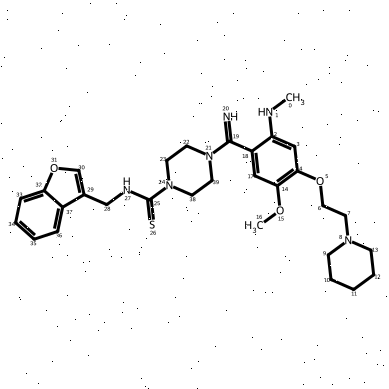 CNc1cc(OCCN2CCCCC2)c(OC)cc1C(=N)N1CCN(C(=S)NCc2coc3ccccc23)CC1